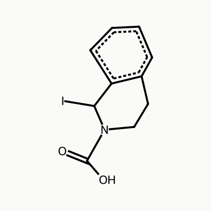 O=C(O)N1CCc2ccccc2C1I